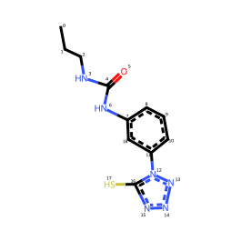 CCCNC(=O)Nc1cccc(-n2nnnc2S)c1